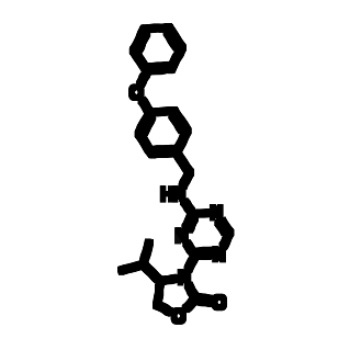 CC(C)C1COC(=O)N1c1ncnc(NCc2ccc(Oc3ccccc3)cc2)n1